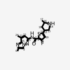 Cc1cn2nc(NC(=O)c3sc(C4CCNC(C)C4)cc3F)cc(C)c2n1